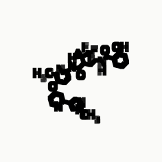 Cc1nc(NC(=O)C(CCNC(=O)c2ccccc2O)C2(C(F)(F)F)CC2)ccc1Oc1ccnc(-c2cnn(C)c2)c1